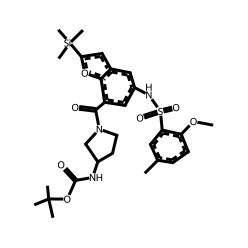 COc1ccc(C)cc1S(=O)(=O)Nc1cc(C(=O)N2CCC(NC(=O)OC(C)(C)C)C2)c2oc([Si](C)(C)C)cc2c1